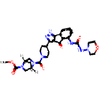 CC(C)(C)OC(=O)N1C[C@@H]2C[C@H]1CN2C(=O)N1CCC(c2n[nH]c3c2C(=O)c2c(NC(=O)NN4CCOCC4)cccc2-3)CC1